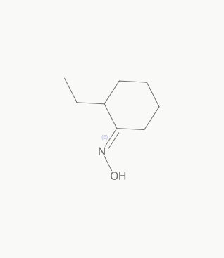 CCC1CCCC/C1=N\O